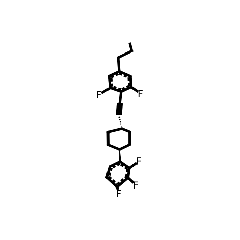 CCCc1cc(F)c(C#C[C@H]2CC[C@H](c3ccc(F)c(F)c3F)CC2)c(F)c1